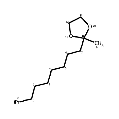 CC(C)CCCCCCCC1(C)OCCO1